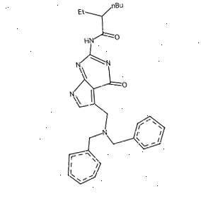 CCCCC(CC)C(=O)NC1=NC(=O)C2=C(CN(Cc3ccccc3)Cc3ccccc3)C=NC2=N1